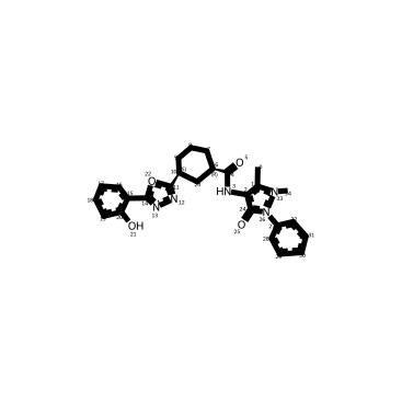 Cc1c(NC(=O)[C@@H]2CCC[C@H](c3nnc(-c4ccccc4O)o3)C2)c(=O)n(-c2ccccc2)n1C